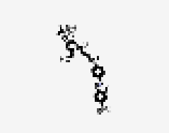 CC(C)P(=O)(O)OC1CC(CO)N(C(=O)CCCN(C)c2ccc(/N=N/c3ccc([N+](=O)[O-])cc3Cl)cc2)C1